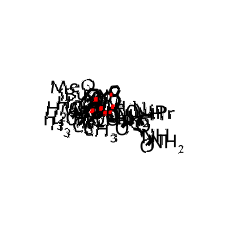 C=C(C)[C@@H](C(=O)N[C@@H](C)C(=O)N(C)[C@@H]([C@@H](C)CC)[C@@H](CC(=O)N1CCC[C@H]1[C@H](OC)[C@@H](C)C(=O)N[C@@H](Cc1ccccc1)C(=O)O)OC)N(C)N(C)C(=O)OCc1ccc(NC(=O)[C@H](CCCNC(N)=O)NC(=O)[C@@H](N)CC(C)C)cc1